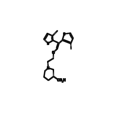 Cc1ccsc1C(=COCCN1CCCC(C(=O)O)C1)c1sccc1C